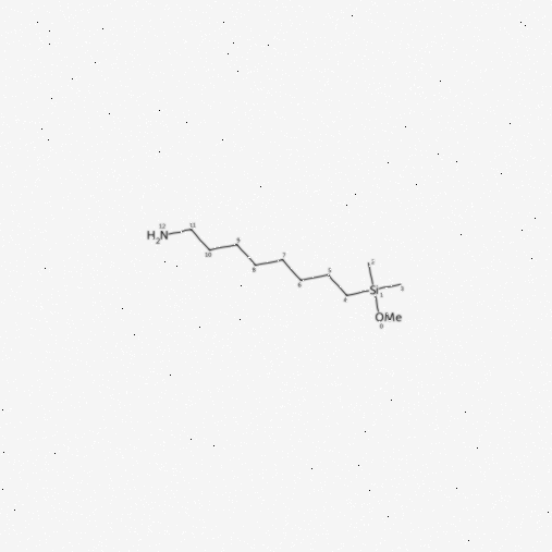 CO[Si](C)(C)CCCCCCCCN